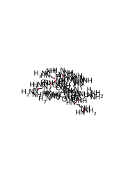 C[C@H](N)C(=O)NCC(=O)N[C@@H](CCCNC(=N)N)C(=O)N[C@@H](CCCNC(=N)N)C(=O)N[C@@H](CCCNC(=N)N)C(=O)N[C@@H](CCCNC(=N)N)C(=O)N[C@@H](CCCNC(=N)N)C(=O)N[C@@H](CCC(N)=O)C(=O)N[C@@H](CCCNC(=N)N)C(=O)N[C@@H](CCCNC(=N)N)C(=O)N[C@@H](CCCNC(=N)N)C(=O)N[C@@H](CCCNC(=N)N)C(N)=O